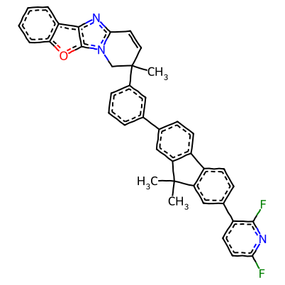 CC1(c2cccc(-c3ccc4c(c3)C(C)(C)c3cc(-c5ccc(F)nc5F)ccc3-4)c2)C=Cc2nc3c4ccccc4oc3n2C1